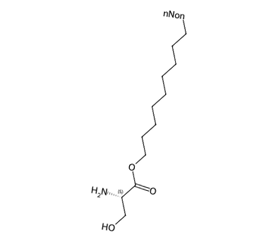 CCCCCCCCCCCCCCCCCCOC(=O)[C@@H](N)CO